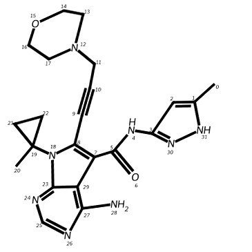 Cc1cc(NC(=O)c2c(C#CCN3CCOCC3)n(C3(C)CC3)c3ncnc(N)c23)n[nH]1